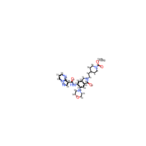 CC(C)(C)OC(=O)N1CCC(CCN2Cc3cc(NC(=O)c4cnn5cccnc45)c(N4CCOCC4)cc3C2=O)CC1